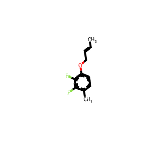 C/C=C/COc1ccc(C)c(F)c1F